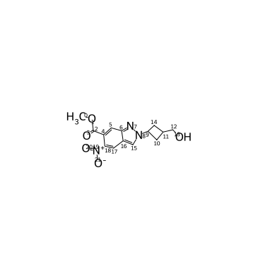 COC(=O)c1cc2nn(C3CC(CO)C3)cc2cc1[N+](=O)[O-]